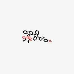 C=CC(=O)OCC1(COC(=O)C=C)c2ccccc2-c2ccc(-c3c4ccccc4c(-c4ccc5c(c4)C(C)(C)c4cc(Br)ccc4-5)c4ccccc34)cc21